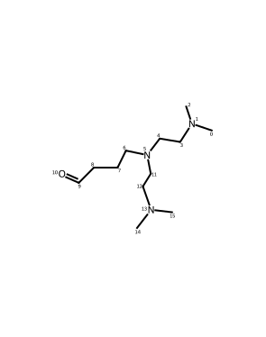 CN(C)CCN(CCCC=O)CCN(C)C